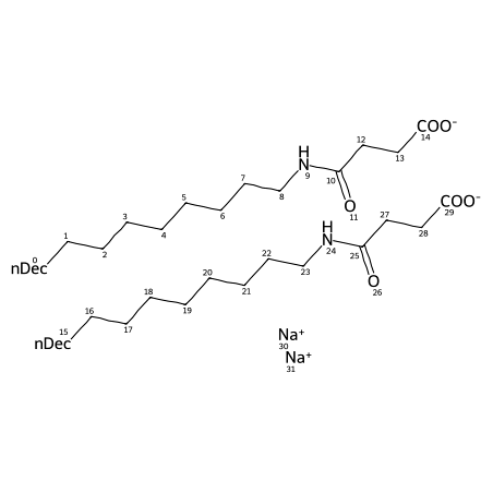 CCCCCCCCCCCCCCCCCCNC(=O)CCC(=O)[O-].CCCCCCCCCCCCCCCCCCNC(=O)CCC(=O)[O-].[Na+].[Na+]